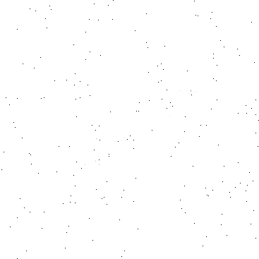 CNCC1CCC(CNCc2cc(C=O)ccn2)CC1